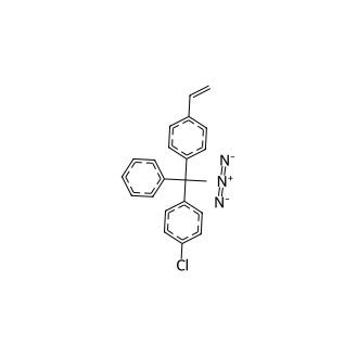 C=Cc1ccc(C(C)(c2ccccc2)c2ccc(Cl)cc2)cc1.[N-]=[N+]=[N-]